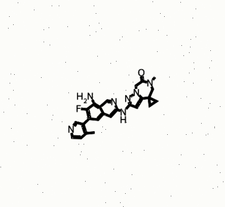 Cc1ccncc1-c1cc2cc(Nc3cc4n(n3)CC(=O)N(C)CC43CC3)ncc2c(N)c1F